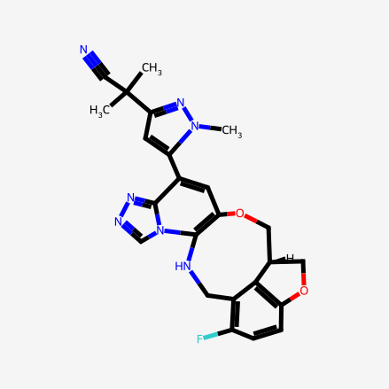 Cn1nc(C(C)(C)C#N)cc1-c1cc2c(n3cnnc13)NCc1c(F)ccc3c1[C@@H](CO3)CO2